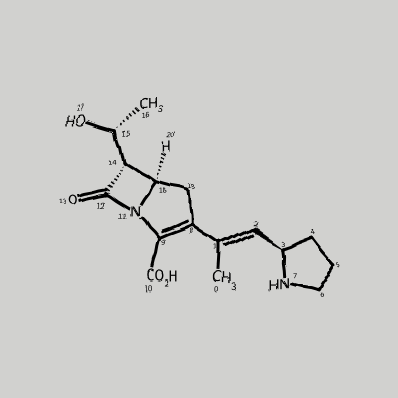 CC(=C[C@H]1CCCN1)C1=C(C(=O)O)N2C(=O)[C@H]([C@@H](C)O)[C@H]2C1